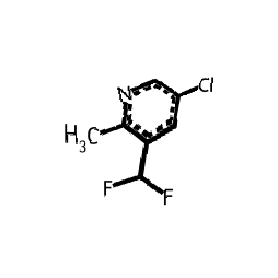 Cc1ncc(Cl)cc1C(F)F